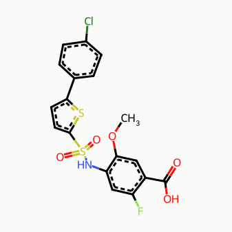 COc1cc(C(=O)O)c(F)cc1NS(=O)(=O)c1ccc(-c2ccc(Cl)cc2)s1